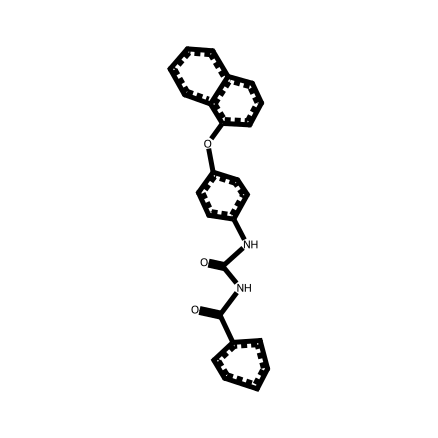 O=C(NC(=O)c1ccccc1)Nc1ccc(Oc2cccc3ccccc23)cc1